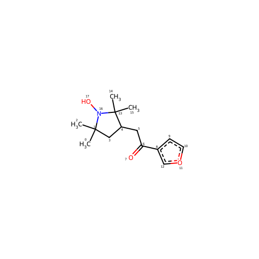 CC1(C)CC(CC(=O)c2ccoc2)C(C)(C)N1O